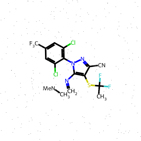 C=Nc1c(SC(C)(F)F)c(C#N)nn1-c1c(Cl)cc(C(F)(F)F)cc1Cl.CNC